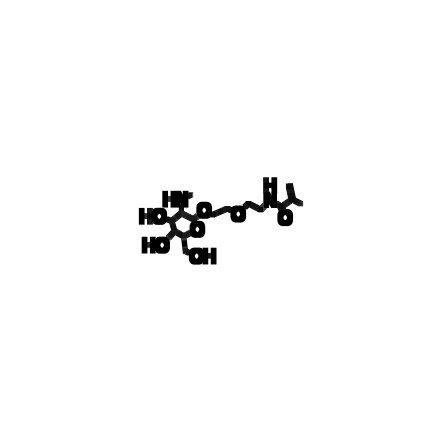 C=C(C)C(=O)NCCOCCOC1OC(CO)C(O)C(O)C1NC